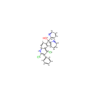 OC(c1ccc2nc(Cl)c(-c3ccccc3)c(Cl)c2c1)(c1ccccn1)c1ccccn1